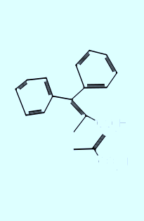 C=C(C)C(=O)O.CC(C(=O)O)=C(c1ccccc1)c1ccccc1